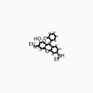 CC/N=c1\ccc2c(-c3ccccc3C(=O)O)c3ccc(NCC)cc3oc-2c1